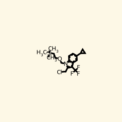 C[Si](C)(C)CCOCn1c(CCl)c(C(F)(F)F)c2cc(C3CC3)ccc21